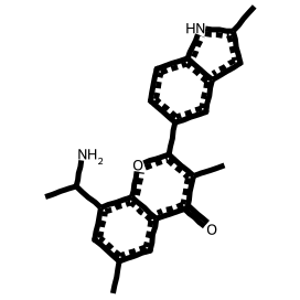 Cc1cc(C(C)N)c2oc(-c3ccc4[nH]c(C)cc4c3)c(C)c(=O)c2c1